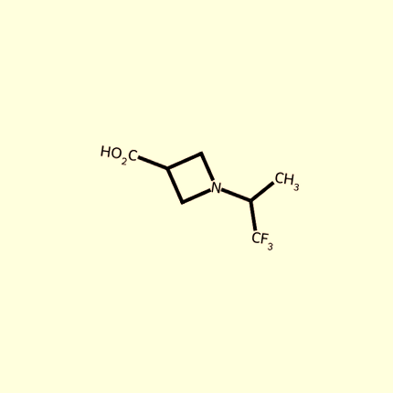 CC(N1CC(C(=O)O)C1)C(F)(F)F